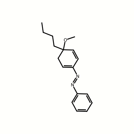 CCCCC1(OC)C=CC(N=Nc2ccccc2)=CC1